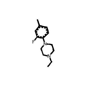 CCN1CCN(c2ccc(C)cc2F)CC1